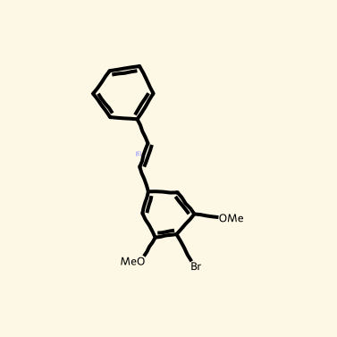 COc1cc(/C=C/c2ccccc2)cc(OC)c1Br